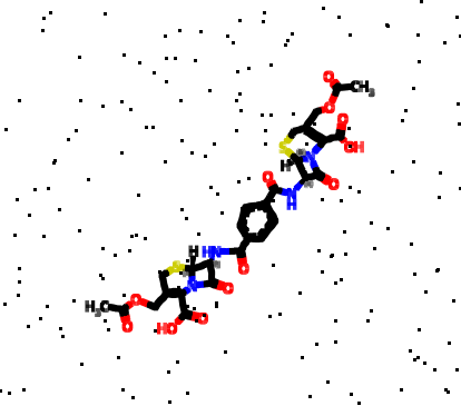 CC(=O)OCC1=C(C(=O)O)N2C(=O)[C@@H](NC(=O)c3ccc(C(=O)N[C@@H]4C(=O)N5C(C(=O)O)=C(COC(C)=O)CS[C@H]45)cc3)[C@H]2SC1